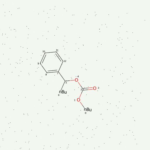 CCCCOC(=O)OC(CCCC)c1ccccc1